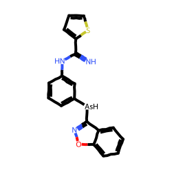 N=C(Nc1cccc([AsH]c2noc3ccccc23)c1)c1cccs1